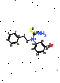 NC(=S)N(CCc1ccccc1)c1cccc(Br)c1